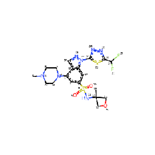 CN1CCN(c2cc(S(=O)(=O)NC3(C)COC3)cc3c2cnn3-c2nnc(C(F)F)s2)CC1